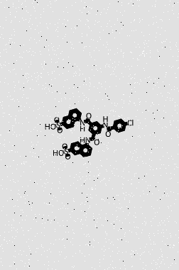 O=C(Nc1cc(C(=O)Nc2cccc3cc(S(=O)(=O)O)ccc23)cc(C(=O)Nc2cccc3cc(S(=O)(=O)O)ccc23)c1)c1ccc(Cl)cc1